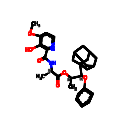 COc1ccnc(C(=O)N[C@@H](C)C(=O)O[C@@H](C)[C@H](Oc2ccccc2)C23CC4CC(CC(C4)C2)C3)c1O